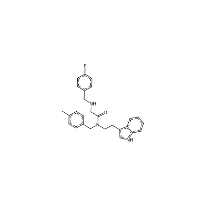 Cc1ccc(CN(CCc2c[nH]c3ccccc23)C(=O)CNCc2ccc(F)cc2)cc1